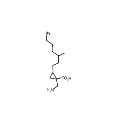 CC(C)CCCC(C)CCC1CC1(CN)C(=O)O